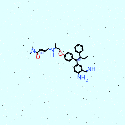 CC/C(=C(/c1ccc(OCC(C)NC/C=C/C(=O)N(C)C)cc1)c1ccc(N)c(C=N)c1)c1ccccc1